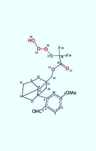 COc1ccc(C=O)c(C23CC4CC(CC(COC(=O)C(F)(F)SOOO)(C4)C2)C3)c1